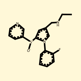 CCNCc1cc([S+]([O-])c2cccnc2)n(-c2ccccc2F)c1